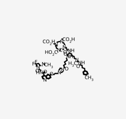 C/N=C/[C@H]1CC(F)(F)CN1C(=O)CNC(=O)c1ccnc2ccc(OCCCN3CCN(C(=O)CCCCCNC(=O)C(CCCC/N=C(\C)NC(=O)CCCc4ccc(C)cc4)NC(=O)CN4CCN(CC(=O)O)CCN(CC(=O)O)CCN(CC(=O)O)CC4)CC3)cc12